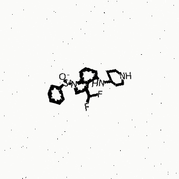 [O-][S+](c1ccccc1)n1cc(C(F)F)c2c(NC3CCNCC3)cccc21